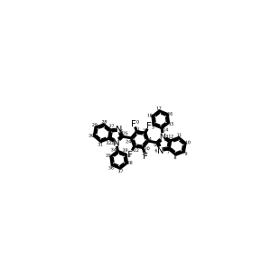 Fc1c(F)c(-c2nc3ccccc3n2-c2ccccc2)c(F)c(F)c1-c1nc2ccccc2n1-c1ccccc1